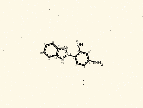 Nc1ccc(-n2nc3ccccc3n2)c(O)c1